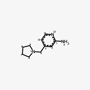 Nc1cc(CN2CCCC2)ccn1